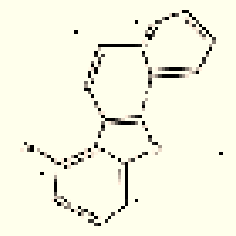 CC(=O)c1cccc2oc3c4ccccc4ccc3c12